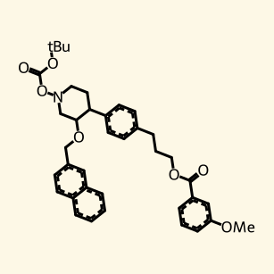 COc1cccc(C(=O)OCCCc2ccc(C3CCN(OC(=O)OC(C)(C)C)CC3OCc3ccc4ccccc4c3)cc2)c1